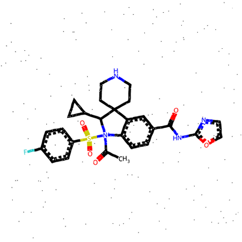 CC(=O)[N+]1(S(=O)(=O)c2ccc(F)cc2)c2ccc(C(=O)Nc3ncco3)cc2C2(CCNCC2)C1C1CC1